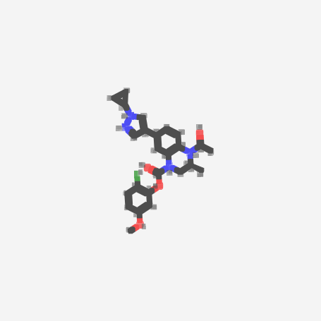 COc1ccc(F)c(OC(=O)N2C[C@H](C)N(C(C)=O)c3ccc(-c4cnn(C5CC5)c4)cc32)c1